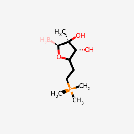 B[C@@H]1OC(CCP(=C)(C)C)[C@@H](O)[C@]1(C)O